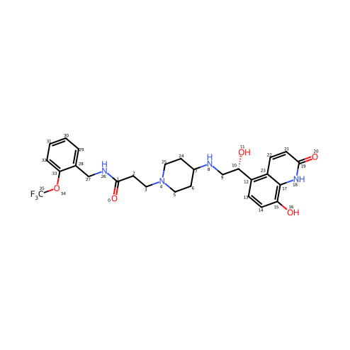 O=C(CCN1CCC(NC[C@H](O)c2ccc(O)c3[nH]c(=O)ccc23)CC1)NCc1ccccc1OC(F)(F)F